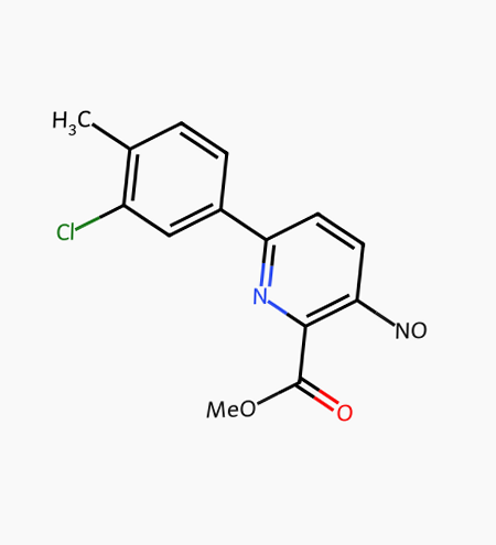 COC(=O)c1nc(-c2ccc(C)c(Cl)c2)ccc1N=O